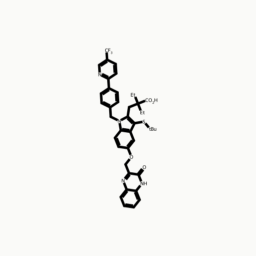 CCC(CC)(Cc1c(SC(C)(C)C)c2cc(OCc3nc4ccccc4[nH]c3=O)ccc2n1Cc1ccc(-c2ccc(C(F)(F)F)cn2)cc1)C(=O)O